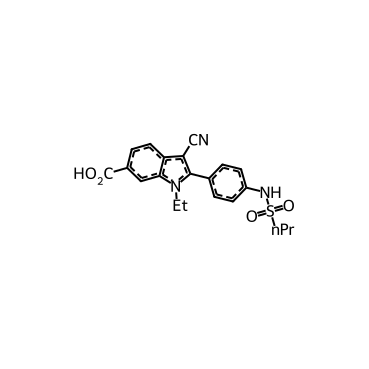 CCCS(=O)(=O)Nc1ccc(-c2c(C#N)c3ccc(C(=O)O)cc3n2CC)cc1